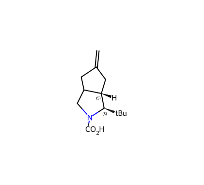 C=C1CC2CN(C(=O)O)[C@H](C(C)(C)C)[C@H]2C1